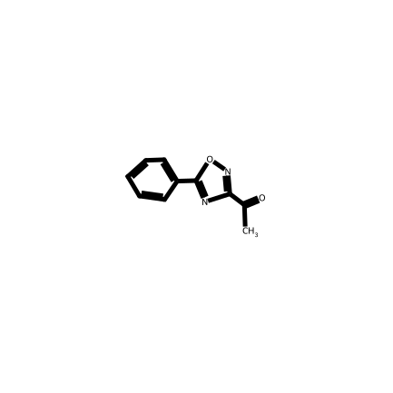 CC(=O)c1noc(-c2ccccc2)n1